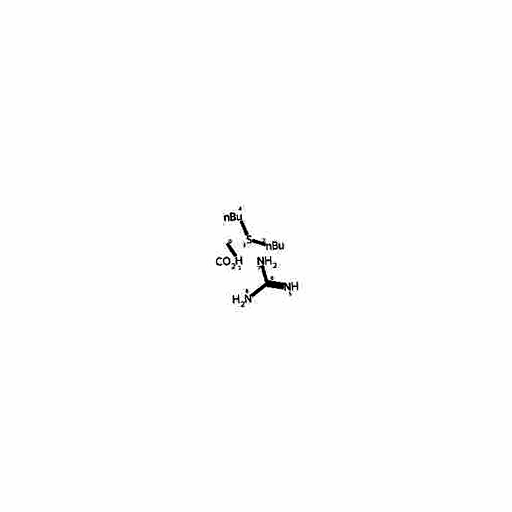 CC(=O)O.CCCCSCCCC.N=C(N)N